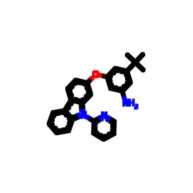 CC(C)(C)c1cc(N)cc(Oc2ccc3c4ccccc4n(-c4ccccn4)c3c2)c1